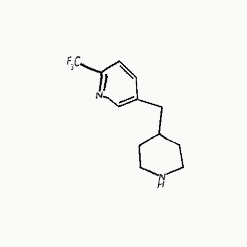 FC(F)(F)c1ccc(CC2CCNCC2)cn1